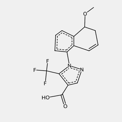 COC1CC=Cc2c1cccc2-n1ncc(C(=O)O)c1C(F)(F)F